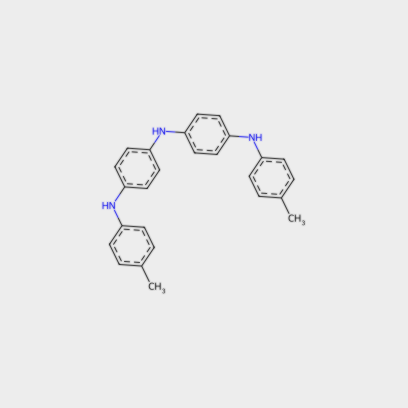 Cc1ccc(Nc2ccc(Nc3ccc(Nc4ccc(C)cc4)cc3)cc2)cc1